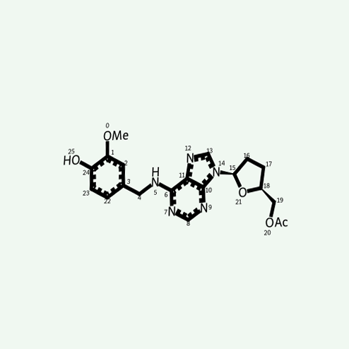 COc1cc(CNc2ncnc3c2ncn3[C@H]2CC[C@@H](COC(C)=O)O2)ccc1O